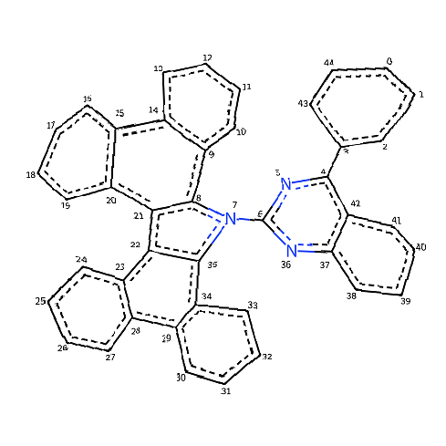 c1ccc(-c2nc(-n3c4c5ccccc5c5ccccc5c4c4c5ccccc5c5ccccc5c43)nc3ccccc23)cc1